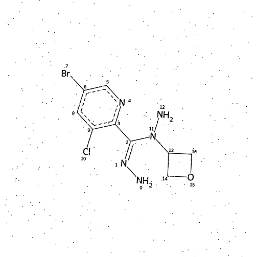 N/N=C(/c1ncc(Br)cc1Cl)N(N)C1COC1